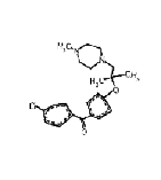 CN1CCN(CC(C)(C)Oc2ccc(C(=O)c3ccc(Cl)cc3)cc2)CC1